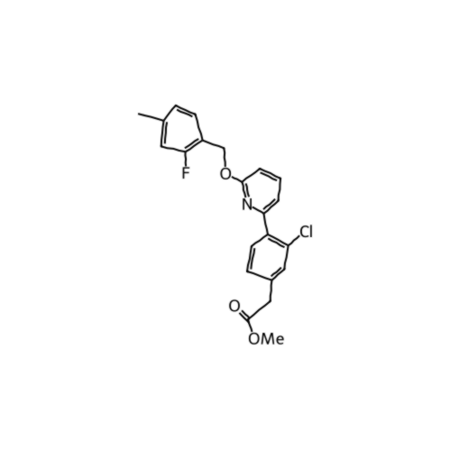 COC(=O)Cc1ccc(-c2cccc(OCc3ccc(C)cc3F)n2)c(Cl)c1